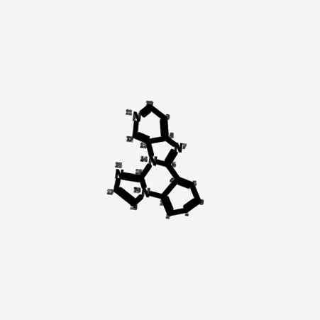 c1ccc2c(c1)c1nc3ccncc3n1c1nccn21